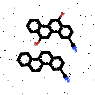 N#Cc1ccc2c(Br)cc3c4ccccc4c(Br)cc3c2c1.N#Cc1ccc2ccc3c4ccccc4ccc3c2c1